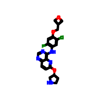 Fc1cc(OCC2COC2)c(Cl)cc1Nc1ncnc2ccc(O[C@H]3CCNC3)nc12